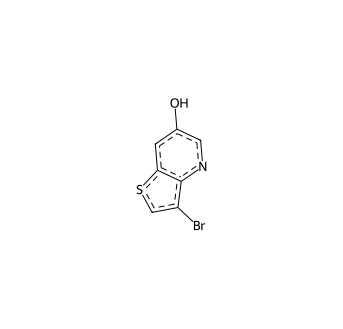 Oc1cnc2c(Br)csc2c1